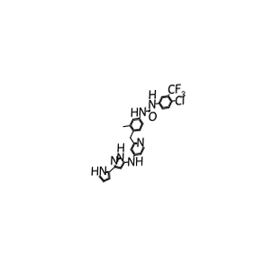 Cc1cc(NC(=O)Nc2ccc(Cl)c(C(F)(F)F)c2)ccc1Cc1cc(Nc2cc(-c3ccc[nH]3)n[nH]2)ccn1